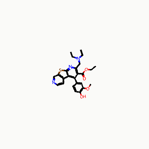 CCOC(=O)c1c(CN(CC)CC)nc2sc3cnccc3c2c1-c1ccc(O)c(OC)c1